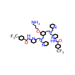 NCCCCOc1cc(CN(Cc2ccccn2)Cc2cccc(NC(=O)c3ccc(C(F)(F)F)cc3)n2)cc(CN(Cc2ccccn2)Cc2cccc(NC(=O)c3ccc(C(F)(F)F)cc3)n2)c1